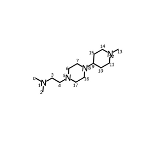 CN(C)CCN1CCN(C2CCN(C)CC2)CC1